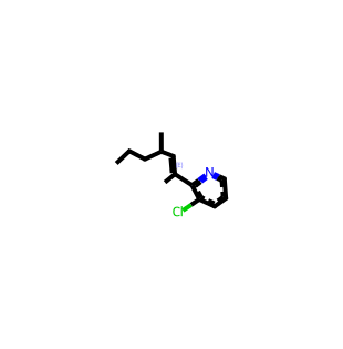 CCCC(C)/C=C(\C)c1ncccc1Cl